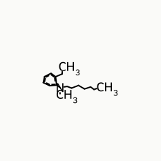 CCCCCCCN(C)c1ccccc1CC